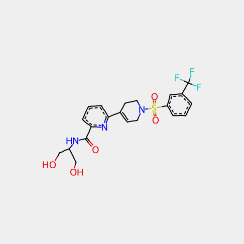 O=C(NC(CO)CO)c1cccc(C2=CCN(S(=O)(=O)c3cccc(C(F)(F)F)c3)CC2)n1